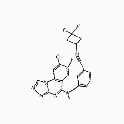 CN(c1cccc(C#CC2CC(F)(F)C2)c1)c1nc2nncn2c2cc(Cl)c(F)cc12